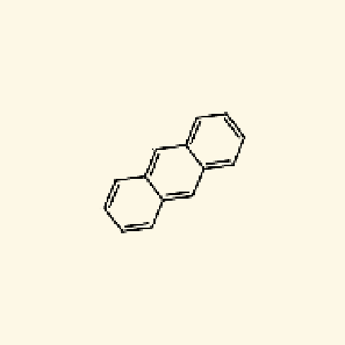 [c]1ccc2cc3cc[c]cc3[c]c2c1